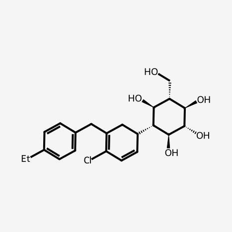 CCc1ccc(CC2=C(Cl)C=CC([C@H]3[C@H](O)[C@@H](O)[C@H](O)[C@@H](CO)[C@@H]3O)C2)cc1